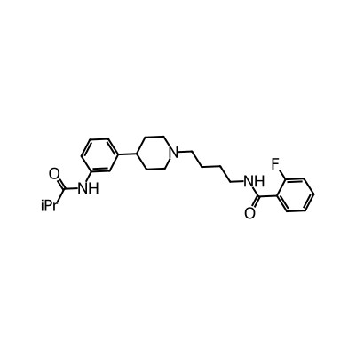 CC(C)C(=O)Nc1cccc(C2CCN(CCCCNC(=O)c3ccccc3F)CC2)c1